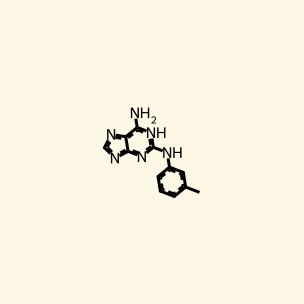 Cc1cccc(Nc2nc3ncnc-3c(N)[nH]2)c1